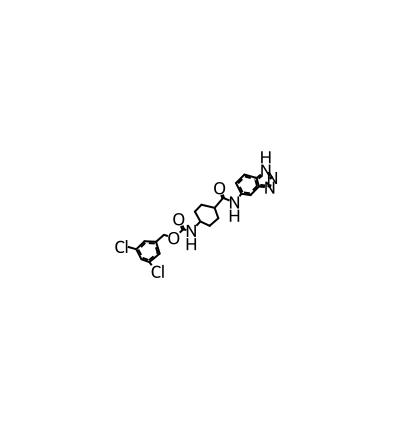 O=C(NC1CCC(C(=O)Nc2ccc3[nH]nnc3c2)CC1)OCc1cc(Cl)cc(Cl)c1